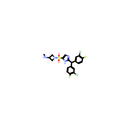 CNC1CN(S(=O)(=O)c2cnc(C(c3ccc(F)c(Cl)c3)c3ccc(F)c(Cl)c3)[nH]2)C1